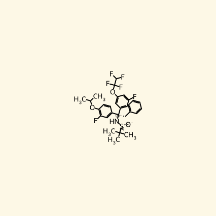 CC(C)Oc1ccc([C@](Cc2ccccc2)(N[S@+]([O-])C(C)(C)C)c2cc(F)cc(OC(F)(F)C(F)F)c2)cc1F